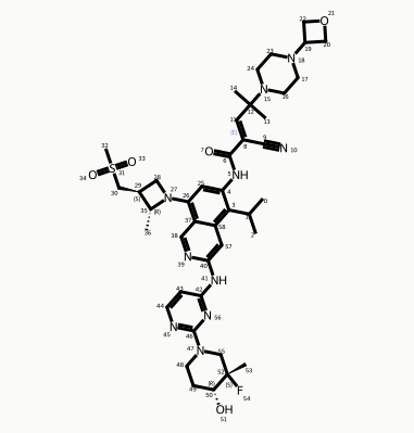 CC(C)c1c(NC(=O)/C(C#N)=C/C(C)(C)N2CCN(C3COC3)CC2)cc(N2C[C@H](CS(C)(=O)=O)[C@H]2C)c2cnc(Nc3ccnc(N4CC[C@@H](O)[C@@](C)(F)C4)n3)cc12